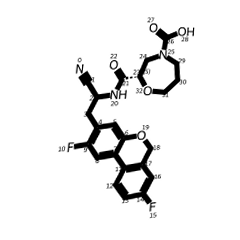 N#CC(Cc1cc2c(cc1F)-c1ccc(F)cc1CO2)NC(=O)[C@@H]1CN(C(=O)O)CCCO1